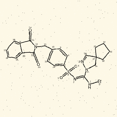 CCN/C(=N/S(=O)(=O)c1ccc(CN2C(=O)c3ccccc3C2=O)cc1)N1CC2(C=N1)CCCC2